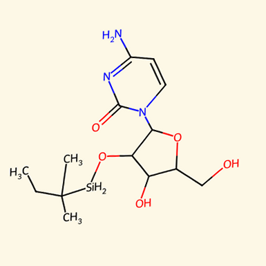 CCC(C)(C)[SiH2]OC1C(O)C(CO)OC1n1ccc(N)nc1=O